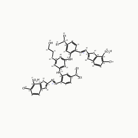 CCN(CC)c1ccc(/N=N/c2nc3ccc(Cl)c(S(=O)(=O)O)c3s2)c(Nc2nc(Nc3cc(N(CC)CC)ccc3/N=N/c3nc4ccc(Cl)c(S(=O)(=O)O)c4s3)nc(SCCO)n2)c1